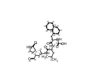 CC(C)CC(NC(=O)C(Cc1cccc2ccccc12)NC(=O)O)C(=O)NC(CCC=O)C[C@@H]1CCNC1=O